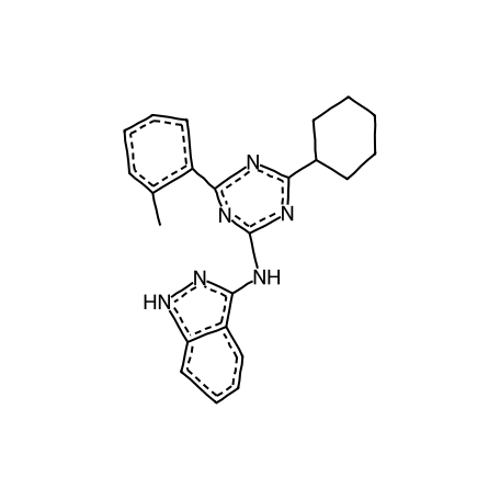 Cc1ccccc1-c1nc(Nc2n[nH]c3ccccc23)nc(C2CCCCC2)n1